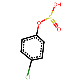 O=S(O)Oc1ccc(Cl)cc1